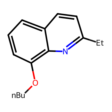 CCCCOc1cccc2ccc(CC)nc12